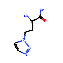 [NH]C(=O)C(N)CCn1ccnn1